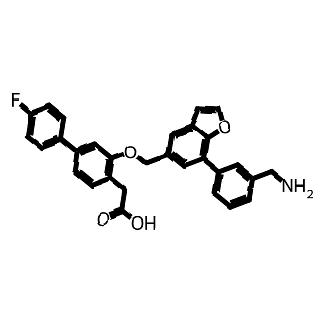 NCc1cccc(-c2cc(COc3cc(-c4ccc(F)cc4)ccc3CC(=O)O)cc3ccoc23)c1